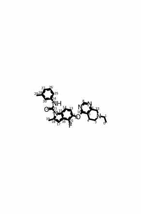 CCN1CCc2c(ncnc2Oc2ccc3c(cc(C)n3C(=O)Nc3cccc(C)c3)c2F)C1